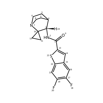 O=C(N[C@H]1C2CCN(CC2)C12CC2)c1cc2cc(F)c(F)cc2s1